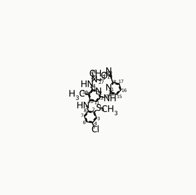 CSc1cc(Cl)ccc1Nc1cc(Nc2cccc(C#N)n2)nc(NN(C)C=O)c1C